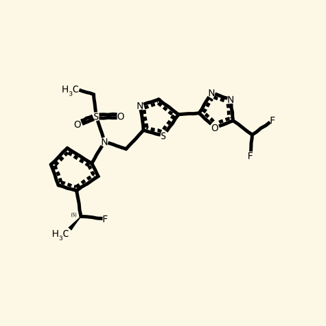 CCS(=O)(=O)N(Cc1ncc(-c2nnc(C(F)F)o2)s1)c1cccc([C@H](C)F)c1